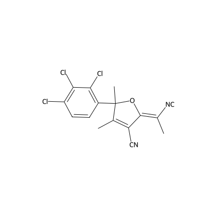 [C-]#[N+]/C(C)=C1\OC(C)(c2ccc(Cl)c(Cl)c2Cl)C(C)=C1C#N